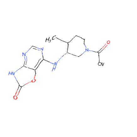 CC1CCN(C(=O)C#N)CC1Nc1ncnc2[nH]c(=O)oc12